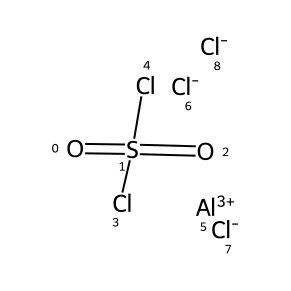 O=S(=O)(Cl)Cl.[Al+3].[Cl-].[Cl-].[Cl-]